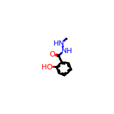 CNNC(=O)c1ccccc1O